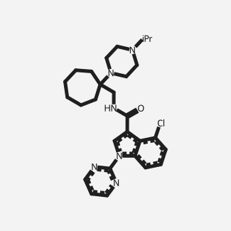 CC(C)N1CCN(C2(CNC(=O)c3cn(-c4ncccn4)c4cccc(Cl)c34)CCCCCC2)CC1